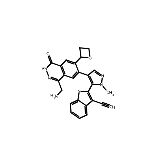 C#Cc1c(-c2c(-c3cc4c(CN)n[nH]c(=O)c4cc3C3CCO3)cnn2C)sc2ccccc12